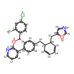 Fc1cc(Cl)ccc1COc1ncccc1-c1ccc(CC2C=CC=CC2Cc2cnco2)cc1